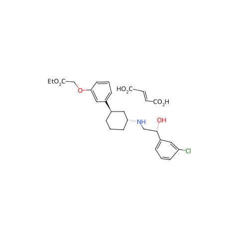 CCOC(=O)COc1cccc([C@@H]2CCC[C@@H](NC[C@H](O)c3cccc(Cl)c3)C2)c1.O=C(O)C=CC(=O)O